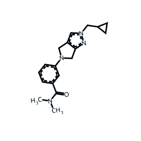 CN(C)C(=O)c1cccc(N2Cc3cn(CC4CC4)nc3C2)c1